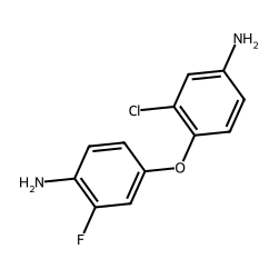 Nc1ccc(Oc2ccc(N)c(F)c2)c(Cl)c1